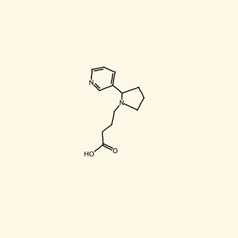 O=C(O)CCCN1CCCC1c1cccnc1